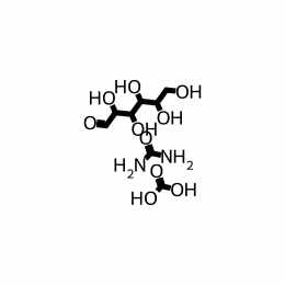 NC(N)=O.O=C(O)O.O=CC(O)C(O)C(O)C(O)CO